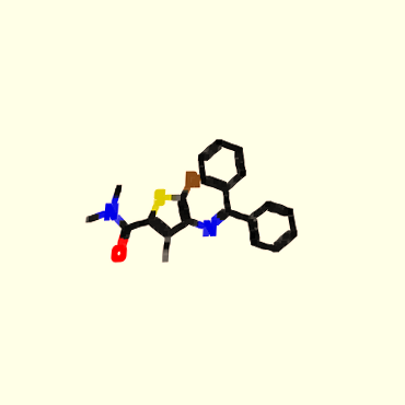 Cc1c(C(=O)N(C)C)sc(Br)c1N=C(c1ccccc1)c1ccccc1